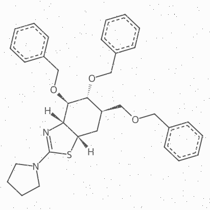 c1ccc(COC[C@H]2C[C@@H]3SC(N4CCCC4)=N[C@@H]3[C@@H](OCc3ccccc3)[C@@H]2OCc2ccccc2)cc1